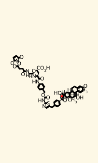 C[C@]12C=CC(=O)C=C1CC[C@@H]1[C@@H]2[C@@H](O)C[C@@]2(C)[C@H]1C[C@H]1O[C@@H](c3ccc(Cc4cnc(NC(=O)OCc5ccc(NC(=O)[C@H](CCC(=O)O)NC(=O)CNC(=O)CCC(=O)ON6C(=O)C=CC6=O)cc5)s4)cc3)O[C@]12C(=O)CO